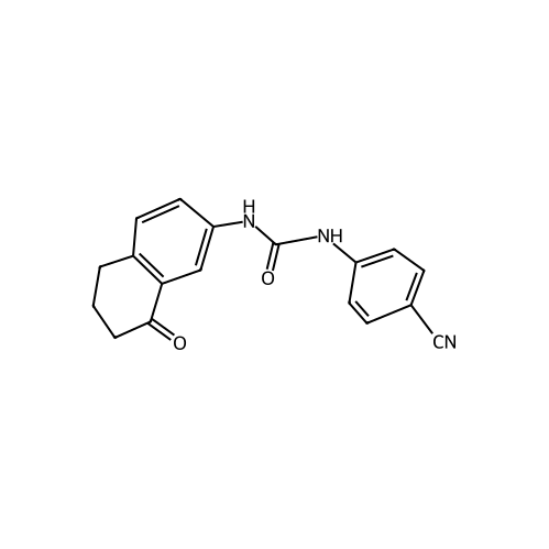 N#Cc1ccc(NC(=O)Nc2ccc3c(c2)C(=O)CCC3)cc1